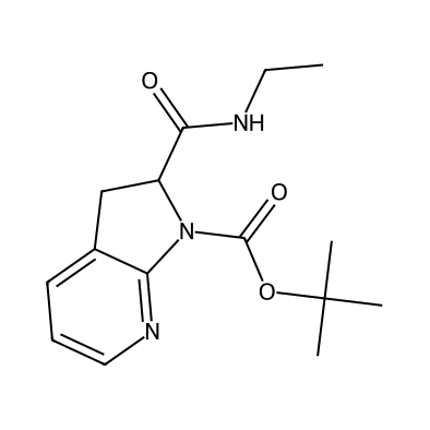 CCNC(=O)C1Cc2cccnc2N1C(=O)OC(C)(C)C